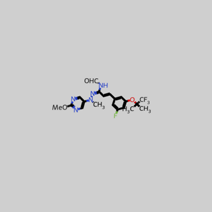 COc1ncc(N(C)/N=C(\C=C\c2cc(F)cc(OC(C)(C)C(F)(F)F)c2)NC=O)cn1